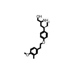 CC[C@H](CC(N)CO)c1ccc(OCCc2ccc(OC)c(C)c2)cc1